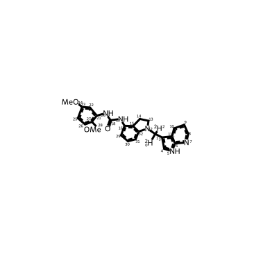 [2H]C([2H])(c1c[nH]c2ncccc12)N1CCc2c(NC(=O)Nc3cc(OC)ccc3OC)cccc21